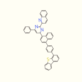 c1ccc(-c2cc(-c3ccc(-c4ccc(-c5cccc6c5sc5ccccc56)cc4)c4ccccc34)nc(-c3ccc4ccccc4n3)n2)cc1